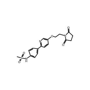 CS(=O)(=O)Nc1ccc(-c2ccc(OCCN3C(=O)CCC3=O)cn2)cc1